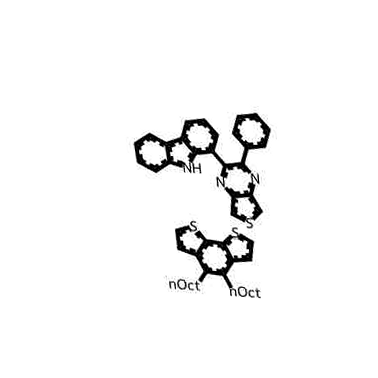 CCCCCCCCc1c(CCCCCCCC)c2ccsc2c2sccc12.c1ccc(-c2nc3cscc3nc2-c2cccc3c2[nH]c2ccccc23)cc1